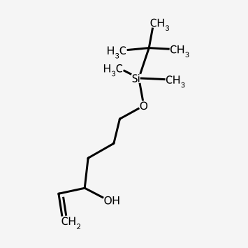 C=CC(O)CCCO[Si](C)(C)C(C)(C)C